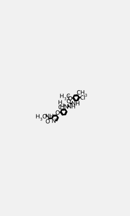 CNC(=O)c1cc(Oc2cccc(NNC(=O)Nc3cc(Cl)c(C)cc3OC)c2C)ccn1